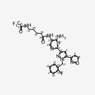 Nc1nc(-c2cc(-c3ccon3)n(Cc3ccccc3F)n2)ncc1NC(=O)CCCCNC(=O)C(F)(F)F